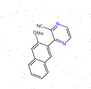 COc1cc2ccccc2cc1-c1nccnc1C#N